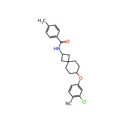 Cc1ccc(C(=O)NC2CC3(CCC(Oc4ccc(C#N)c(Cl)c4)CC3)C2)cc1